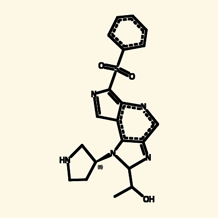 CC(O)C1N=c2cnc3c(c2N1[C@H]1CCNC1)C=NC=3S(=O)(=O)c1ccccc1